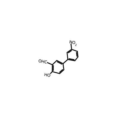 O=Cc1cc(-c2cccc([N+](=O)[O-])c2)ccc1O